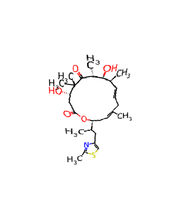 C/C1=C/C[C@@H](C(C)Cc2csc(C)n2)OC(=O)C[C@H](O)C(C)(C)C(=O)[C@H](C)[C@@H](O)[C@@H](C)/C=C/C1